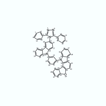 c1ccc(-c2nnc(-c3ccccc3)n2-c2ccc3c(c2)c2ccccc2n3-c2cccc(-n3c4ccccc4c4ccc5oc6ccccc6c5c43)c2)cc1